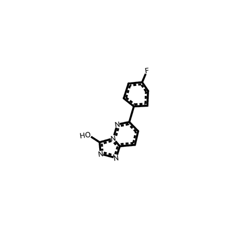 Oc1nnc2ccc(-c3ccc(F)cc3)nn12